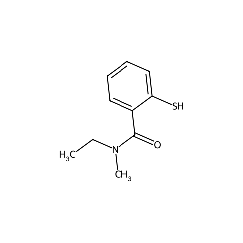 CCN(C)C(=O)c1ccccc1S